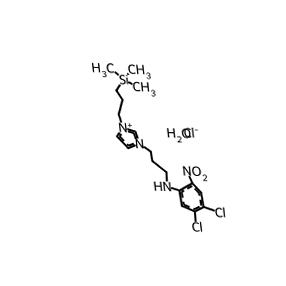 C[Si](C)(C)CCC[n+]1ccn(CCCNc2cc(Cl)c(Cl)cc2[N+](=O)[O-])c1.O.[Cl-]